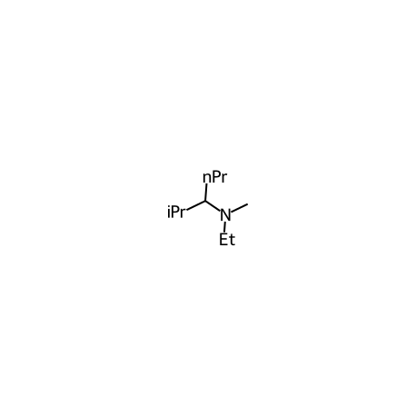 CCCC(C(C)C)N(C)CC